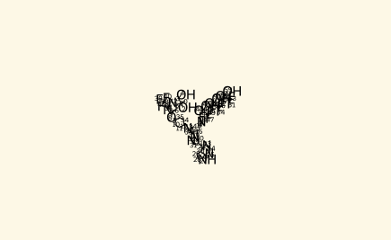 CC(O)(CO)c1cc(O[C@H]2CC[C@@H](N3CC(CC#N)(n4cc(-c5ncnc6[nH]ccc56)cn4)C3)CC2)nc(C(F)(F)F)n1.O=C(O)C(F)(F)F.O=C(O)C(F)(F)F.O=C(O)C(F)(F)F